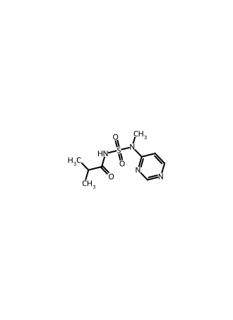 CC(C)C(=O)NS(=O)(=O)N(C)c1ccncn1